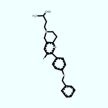 CC(C=O)CCN1CCc2nc(-c3ccc(OCc4ccccc4)cc3)c(F)cc2C1